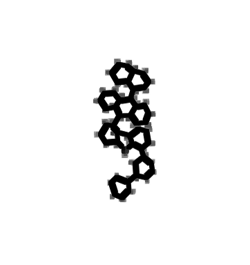 c1ccc(-c2cccc(-c3cccc4c3oc3cccc(-c5c6ccccc6c(-c6cccc7ccccc67)c6ccccc56)c34)c2)cc1